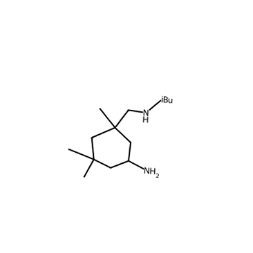 CCC(C)NCC1(C)CC(N)CC(C)(C)C1